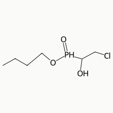 CCCCO[PH](=O)C(O)CCl